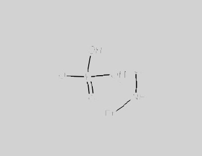 CCNCC.O=P(O)(O)Cl